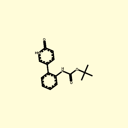 CC(C)(C)OC(=O)Nc1ccccc1-c1ccc(=O)[nH]c1